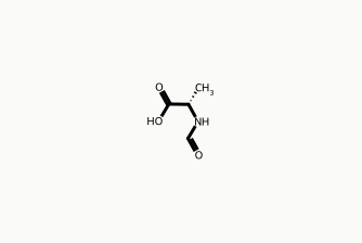 C[C@H](NC=O)C(=O)O